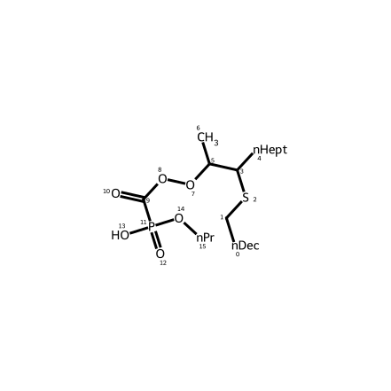 CCCCCCCCCCCSC(CCCCCCC)C(C)OOC(=O)P(=O)(O)OCCC